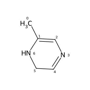 CC1=CN=CCN1